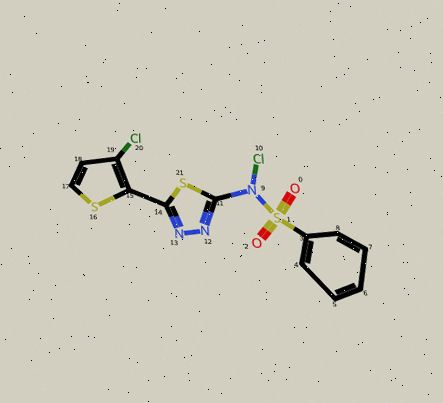 O=S(=O)(c1ccccc1)N(Cl)c1nnc(-c2sccc2Cl)s1